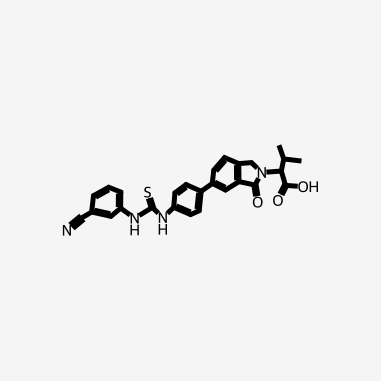 CC(C)C(C(=O)O)N1Cc2ccc(-c3ccc(NC(=S)Nc4cccc(C#N)c4)cc3)cc2C1=O